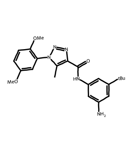 COc1ccc(OC)c(-n2nnc(C(=O)Nc3cc(N)cc(C(C)(C)C)c3)c2C)c1